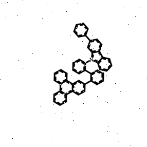 c1ccc(-c2ccc3c4ccccc4n(-c4ccccc4-c4ccccc4-c4ccc5c6ccccc6c6ccccc6c5c4)c3c2)cc1